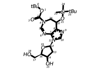 CC(C)(C)OC(=O)N1C=Nc2c(ncn2[C@H]2CC(O)[C@@H](CO)O2)C(O[Si](C)(C)C(C)(C)C)C1